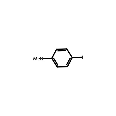 CNc1ccc(I)cc1